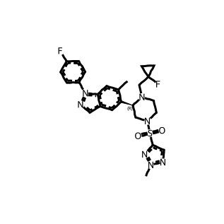 Cc1cc2c(cnn2-c2ccc(F)cc2)cc1[C@@H]1CN(S(=O)(=O)c2cnn(C)n2)CCN1CC1(F)CC1